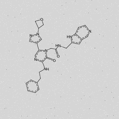 O=C(Cn1c(-c2cnn(C3COC3)c2)cnc(NCCc2ccccc2)c1=O)NCc1cc2cnccc2[nH]1